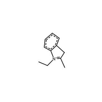 CC[N+]1=C(C)Cc2ccccc21